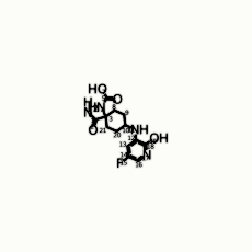 NC(=O)C1(NC(=O)O)CCC(Nc2cc(F)cnc2O)CC1